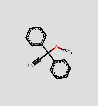 C#CC(O[SiH3])(c1ccccc1)c1ccccc1